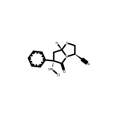 N#C[C@@H]1CS[C@H]2C[C@](NCl)(c3ccccc3)C(=O)N12